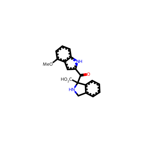 COc1cccc2[nH]c(C(=O)C3(C(=O)O)NCc4ccccc43)cc12